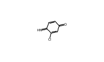 N=C1C=CC(=O)C=C1Cl